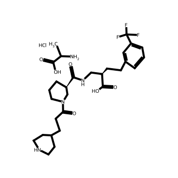 CC(N)C(=O)O.Cl.O=C(O)[C@H](CCc1cccc(C(F)(F)F)c1)CNC(=O)[C@@H]1CCCN(C(=O)CCC2CCNCC2)C1